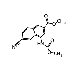 COC(=O)Nc1cc(C(=O)OC)cc2ccc(C#N)cc12